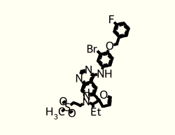 CCC(NCCS(C)(=O)=O)C1(c2cc3c(Nc4ccc(OCc5cccc(F)c5)c(Br)c4)ncnc3cn2)CC=CO1